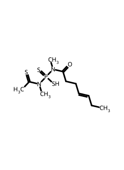 CCC=CCCC(=O)N(C)P(=S)(S)N(C)C(C)=S